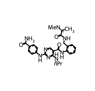 CCCNc1nc(Nc2ccc(C(N)=O)cc2)ncc1C(=O)Nc1ccccc1CNC(=O)[C@H](C)NC